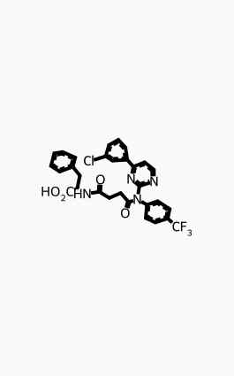 O=C(CCC(=O)N(c1ccc(C(F)(F)F)cc1)c1nccc(-c2cccc(Cl)c2)n1)N[C@H](Cc1ccccc1)C(=O)O